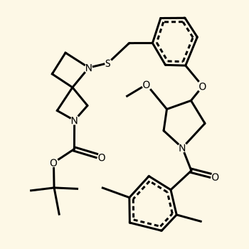 COC1CN(C(=O)c2cc(C)ccc2C)CC1Oc1cccc(CSN2CCC23CN(C(=O)OC(C)(C)C)C3)c1